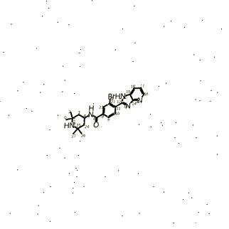 CC1(C)CC(NC(=O)c2ccc(-c3nc4ncccc4[nH]3)c(Br)c2)CC(C)(C)N1